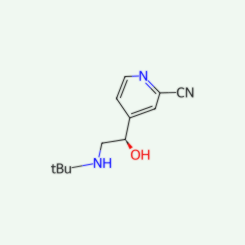 CC(C)(C)NC[C@H](O)c1ccnc(C#N)c1